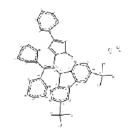 CC1C=C(c2ccccc2)C=[C]1[Zr+2](=[C](c1ccccc1)c1ccccc1)[CH]1c2ccc(C(C)(C)C)cc2-c2cc(C(C)(C)C)ccc21.[Cl-].[Cl-]